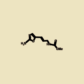 COC(=O)NC/C=C/c1cnc(N)o1